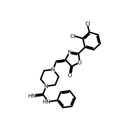 N=C(Nc1ccccc1)N1CCN(C=C2N=C(c3cccc(Cl)c3Cl)OC2=O)CC1